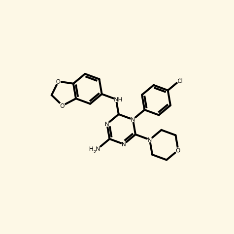 NC1=NC(Nc2ccc3c(c2)OCO3)N(c2ccc(Cl)cc2)C(N2CCOCC2)=N1